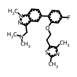 Cc1nc(C)c(CCOc2cc(F)ccc2-c2ccc3c(c2)c(CN(C)C)nn3C)s1